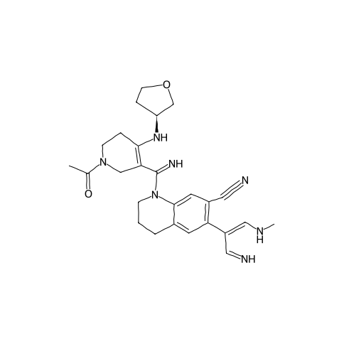 CN/C=C(\C=N)c1cc2c(cc1C#N)N(C(=N)C1=C(N[C@H]3CCOC3)CCN(C(C)=O)C1)CCC2